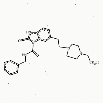 CCOC(=O)CN1CCN(CCc2ccc3[nH]c(=O)n(C(=O)NCc4ccccc4)c3c2)CC1